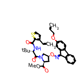 C=CCOc1ccc2c(c1)C(=NO[C@@H]1C[C@@H](C(=O)OC)N(C(=O)[C@@H](NC(=O)c3sccc3C=C)C(C)(C)C)C1)c1ccccc1-2